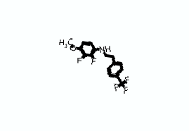 COc1ccc(NCCc2ccc(C(F)(F)F)cc2)c(F)c1F